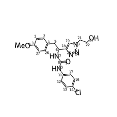 COc1ccc(CC(NC(=O)Nc2ccc(Cl)cc2)c2cn(CCO)nn2)cc1